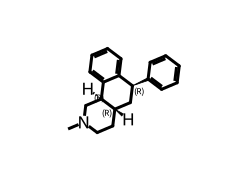 CN1CC[C@H]2C[C@H](c3ccccc3)c3ccccc3[C@@H]2C1